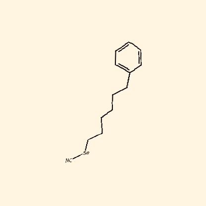 N#C[Se]CCCCCCc1ccccc1